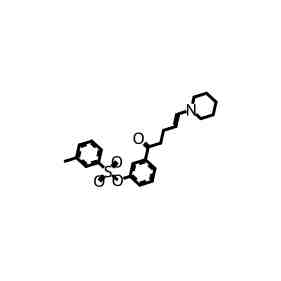 Cc1cccc(S(=O)(=O)Oc2cccc(C(=O)CCC=CN3CCCCC3)c2)c1